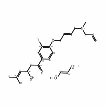 C=CCN(C)CC=CCOc1ccc(C(=O)CC(O)C=C(C)C)cc1F.O=C(O)C=CC(=O)O